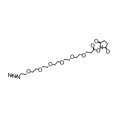 [N-]=[N+]=NCCOCCOCCOCCOCCOCCOCCC(=O)ON1C(=O)CCC1=O